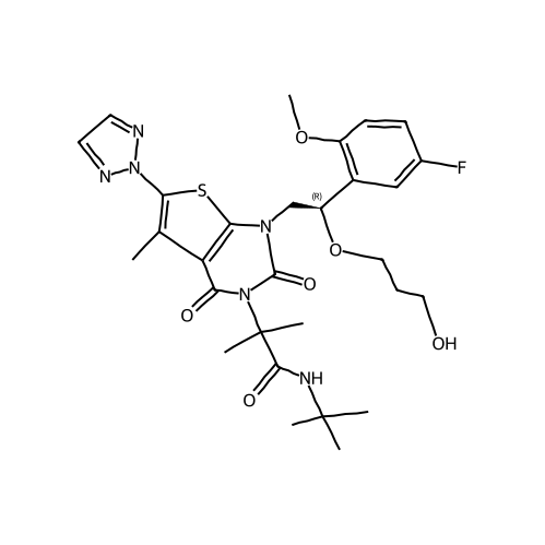 COc1ccc(F)cc1[C@H](Cn1c(=O)n(C(C)(C)C(=O)NC(C)(C)C)c(=O)c2c(C)c(-n3nccn3)sc21)OCCCO